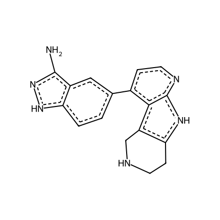 Nc1n[nH]c2ccc(-c3ccnc4[nH]c5c(c34)CNCC5)cc12